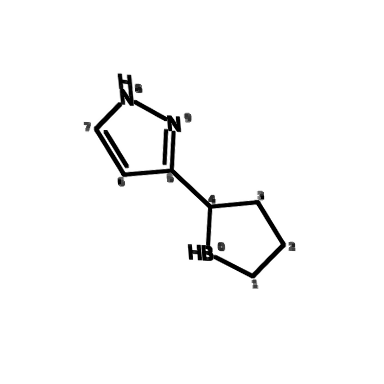 B1CCCC1c1cc[nH]n1